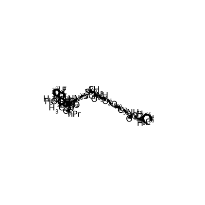 CCCC1O[C@@H]2C[C@H]3[C@@H]4C[C@H](F)C5=CCC=C[C@]5(C)[C@@]4(F)[C@@H](O)C[C@]3(C)[C@]2(C(=O)COC(=O)NCCSSC(C)(C)CC(=O)NCCOCCOCCOCCNC(=O)OC[C@@H]2[C@@H]3CCC#CCC[C@@H]32)O1